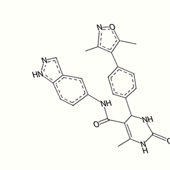 CC1=C(C(=O)Nc2ccc3[nH]ncc3c2)C(c2ccc(-c3c(C)noc3C)cc2)NC(=O)N1